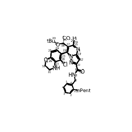 CCCCCc1ccccc1CNC(=O)c1cc2nc(C)c([C@H](OC(C)(C)C)C(=O)O)c(-c3ccc4c(c3Cl)NCCO4)n2n1